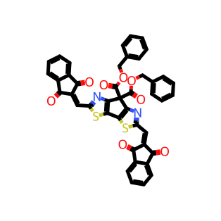 O=C1C(=Cc2nc3c(s2)-c2sc(C=C4C(=O)c5ccccc5C4=O)nc2C3(C(=O)OCc2ccccc2)C(=O)OCc2ccccc2)C(=O)c2ccccc21